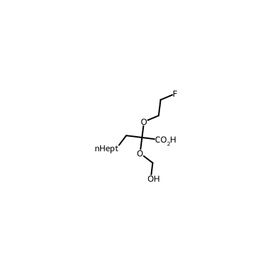 CCCCCCCCC(OCO)(OCCF)C(=O)O